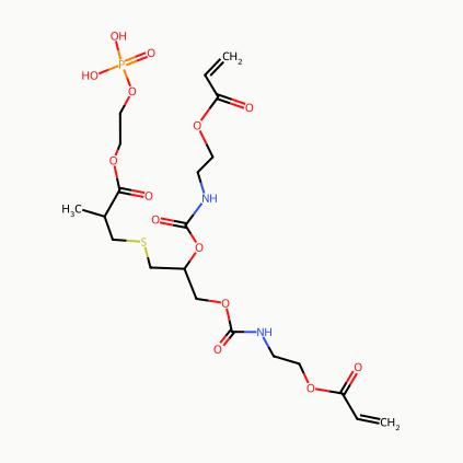 C=CC(=O)OCCNC(=O)OCC(CSCC(C)C(=O)OCCOP(=O)(O)O)OC(=O)NCCOC(=O)C=C